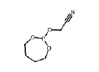 N#CCOP1OCCCCO1